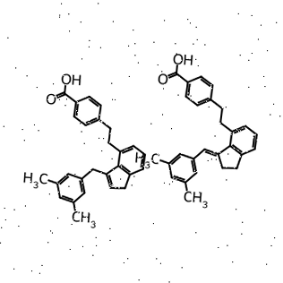 Cc1cc(C)cc(C=C2CCc3cccc(CCc4ccc(C(=O)O)cc4)c32)c1.Cc1cc(C)cc(CC2=CCc3cccc(CCc4ccc(C(=O)O)cc4)c32)c1